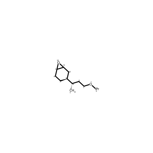 CC(C)OCC[C@H](C)[C@H]1CCC2OC2C1